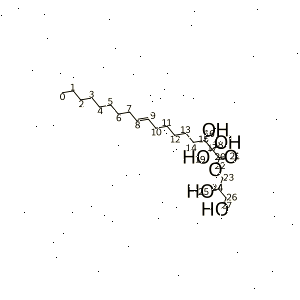 CCCCCCCCC=CCCCCCC(O)C(O)(O)C(=O)OCC(O)CO